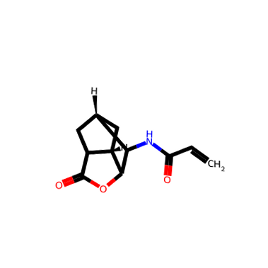 C=CC(=O)NC1C2OC(=O)C3C[C@@H]1C[C@@H]32